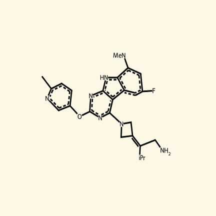 CNc1cc(F)cc2c1[nH]c1nc(Oc3ccc(C)nc3)nc(N3CC(=C(CN)C(C)C)C3)c12